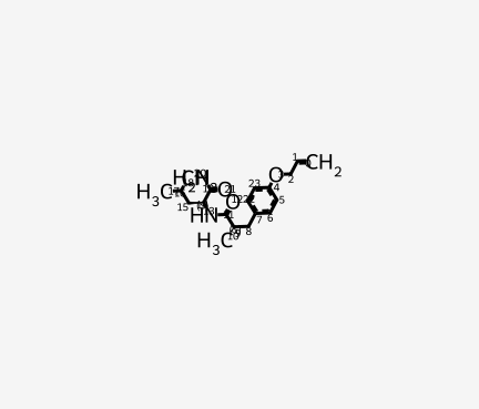 C=CCOc1ccc(C[C@H](C)C(=O)N[C@@H](CC(C)C)C(N)=O)cc1